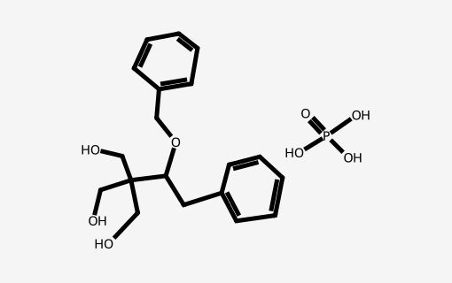 O=P(O)(O)O.OCC(CO)(CO)C(Cc1ccccc1)OCc1ccccc1